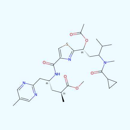 COC(=O)[C@@H](C)C[C@H](Cc1ncc(C)cn1)NC(=O)c1csc([C@@H](CC(C(C)C)N(C)C(=O)C2CC2)OC(C)=O)n1